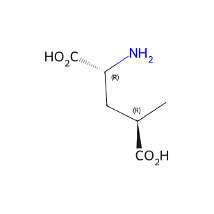 C[C@H](C[C@@H](N)C(=O)O)C(=O)O